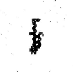 O=C(OCO/N=[NH+]\[O-])C1=Cc2cc(S(F)(F)(F)(F)F)ccc2O[C@@H]1C(F)(F)F